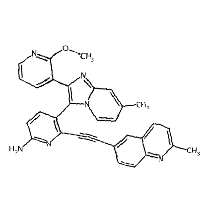 COc1ncccc1-c1nc2cc(C)ccn2c1-c1ccc(N)nc1C#Cc1ccc2nc(C)ccc2c1